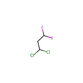 ClC(Cl)[CH]C(I)I